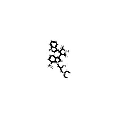 CCN(CC)CC(O)Cn1cc(C2=C(c3c[nH]c4ccccc34)C(=O)NC2=O)c2cccc([N+](=O)[O-])c21